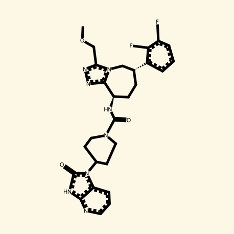 COCc1nnc2n1C[C@H](c1cccc(F)c1F)CC[C@H]2NC(=O)N1CCC(n2c(=O)[nH]c3ncccc32)CC1